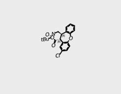 CC(C)(C)OC(=O)[C@H]1c2cc(Cl)ccc2Oc2ccccc2[C@@H]1C[N+](=O)[O-]